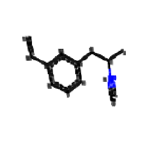 [C-]#[N+]C(C)Cc1cccc(C=C)c1